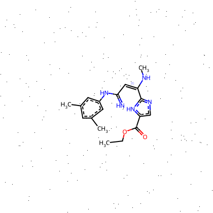 CCOC(=O)c1cnc(/C(=C\C(=N)Nc2cc(C)cc(C)c2)NC)[nH]1